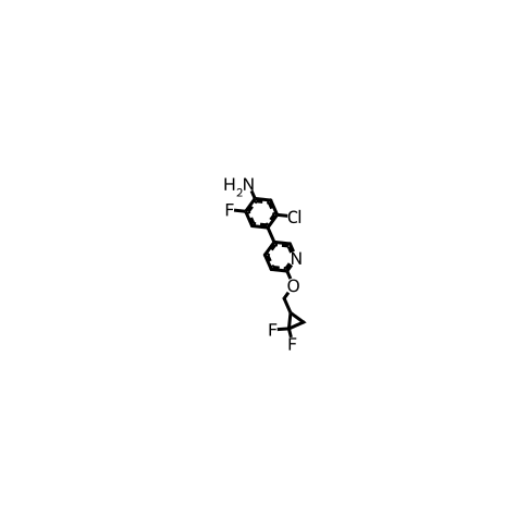 Nc1cc(Cl)c(-c2ccc(OCC3CC3(F)F)nc2)cc1F